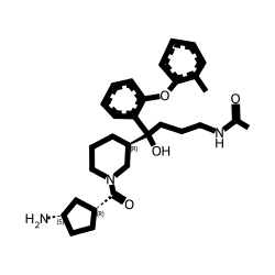 CC(=O)NCCCC(O)(c1ccccc1Oc1ccccc1C)[C@@H]1CCCN(C(=O)[C@@H]2CC[C@H](N)C2)C1